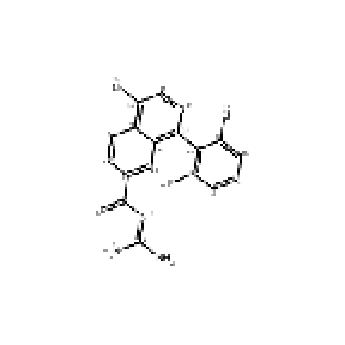 C=C(N=C(N)N)c1ccc2c(Cl)cnc(-c3c(F)cccc3Cl)c2c1